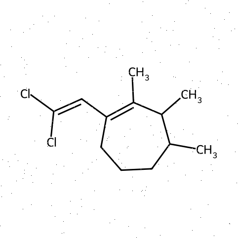 CC1=C(C=C(Cl)Cl)CCCC(C)C1C